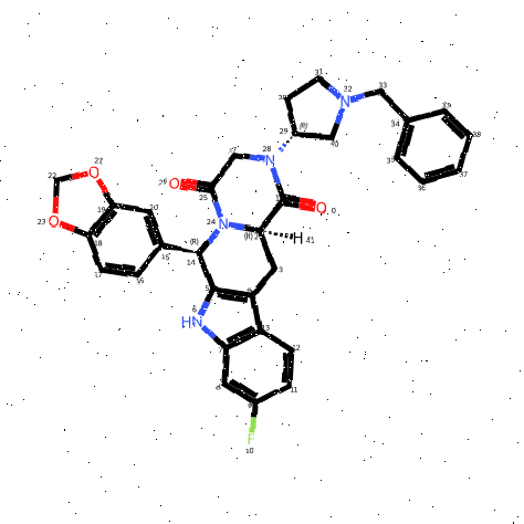 O=C1[C@H]2Cc3c([nH]c4cc(F)ccc34)[C@@H](c3ccc4c(c3)OCO4)N2C(=O)CN1[C@@H]1CCN(Cc2ccccc2)C1